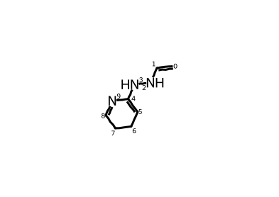 C=CNNC1=CCCC=N1